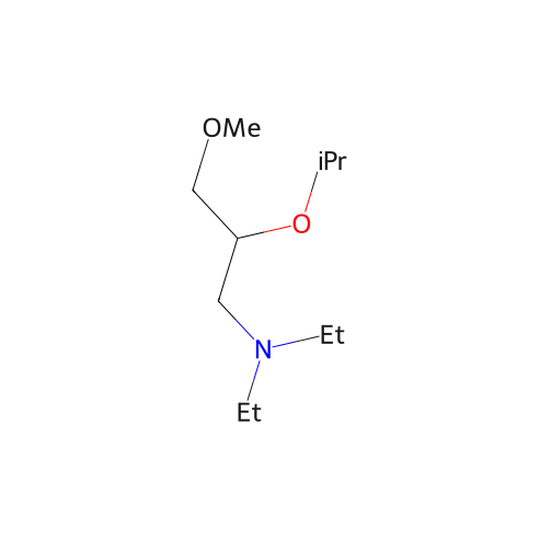 CCN(CC)CC(COC)OC(C)C